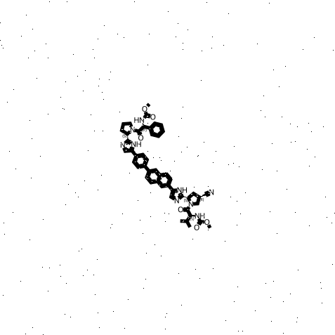 COC(=O)N[C@H](C(=O)N1C[C@H](C#N)C[C@H]1c1ncc(-c2ccc3cc(-c4ccc(-c5cnc([C@@H]6CCCN6C(=O)[C@H](NC(=O)OC)c6ccccc6)[nH]5)cc4)ccc3c2)[nH]1)C(C)C